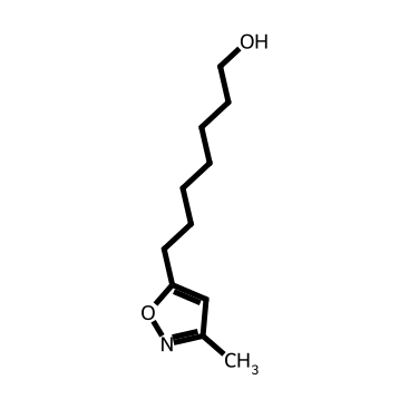 Cc1cc(CCCCCCCO)on1